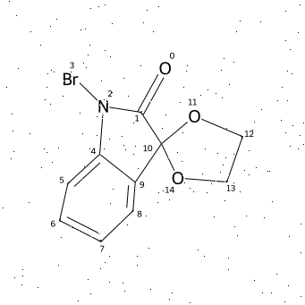 O=C1N(Br)c2ccccc2C12OCCO2